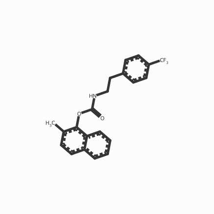 Cc1ccc2ccccc2c1OC(=O)NCCc1ccc(C(F)(F)F)cc1